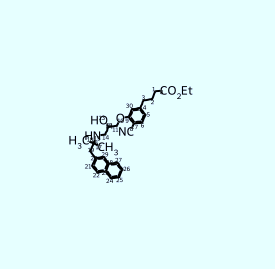 CCOC(=O)CCCc1ccc(C#N)c(OC[C@H](O)CNC(C)(C)Cc2ccc3ccccc3c2)c1